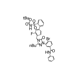 CCCCc1nn(-c2cc(C(=O)Nc3ccccc3)ccc2Br)c(=O)n1Cc1ccc(-c2ccccc2S(=O)(=O)NC(=O)OC(C)(C)C)cc1F